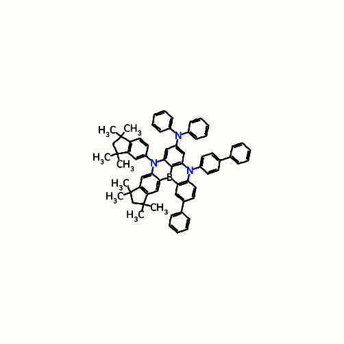 CC1(C)CC(C)(C)c2cc(N3c4cc5c(cc4B4c6cc(-c7ccccc7)ccc6N(c6ccc(-c7ccccc7)cc6)c6cc(N(c7ccccc7)c7ccccc7)cc3c64)C(C)(C)CC5(C)C)ccc21